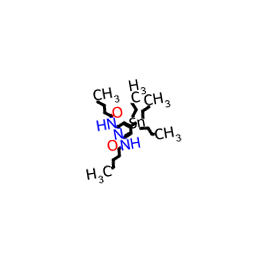 CCCCC(=O)Nc1c[c]([Sn]([CH2]CCC)([CH2]CCC)[CH2]CCC)cc(NC(=O)CCCC)n1